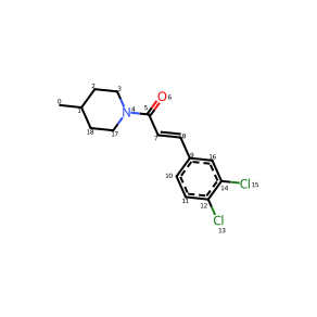 CC1CCN(C(=O)C=Cc2ccc(Cl)c(Cl)c2)CC1